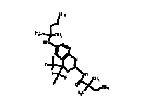 CCCC(C)(C)Nc1ccc2c(c1)C(C(F)(F)F)(C(F)(F)F)OC(BC(=O)C(C)(C)CC)=N2